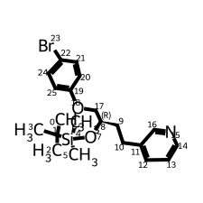 CC(C)(C)[Si](C)(C)O[C@H](CCc1cccnc1)COc1ccc(Br)cc1